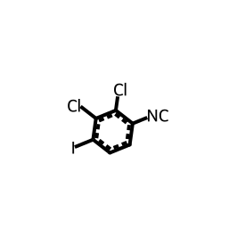 [C-]#[N+]c1ccc(I)c(Cl)c1Cl